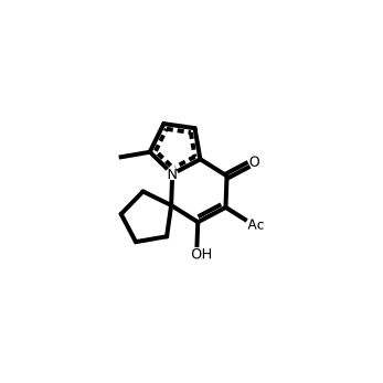 CC(=O)C1=C(O)C2(CCCC2)n2c(C)ccc2C1=O